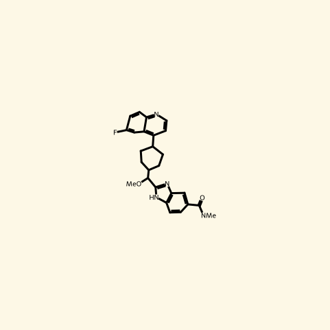 CNC(=O)c1ccc2[nH]c(C(OC)C3CCC(c4ccnc5ccc(F)cc45)CC3)nc2c1